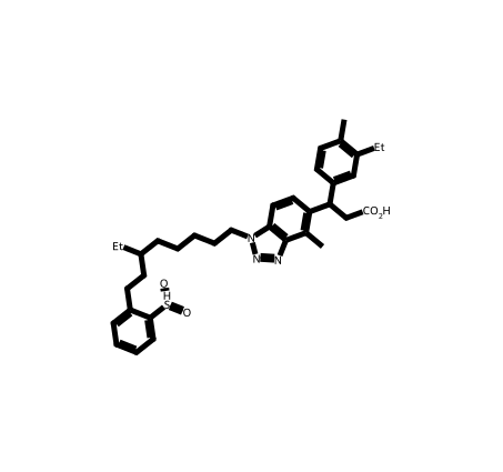 CCc1cc(C(CC(=O)O)c2ccc3c(nnn3CCCCCC(CC)CCc3ccccc3[SH](=O)=O)c2C)ccc1C